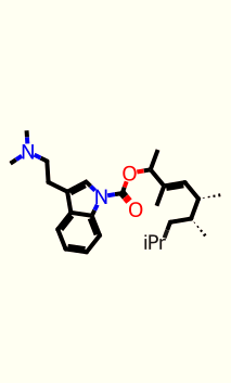 C/C(=C\[C@H](C)[C@H](C)CC(C)C)C(C)OC(=O)n1cc(CCN(C)C)c2ccccc21